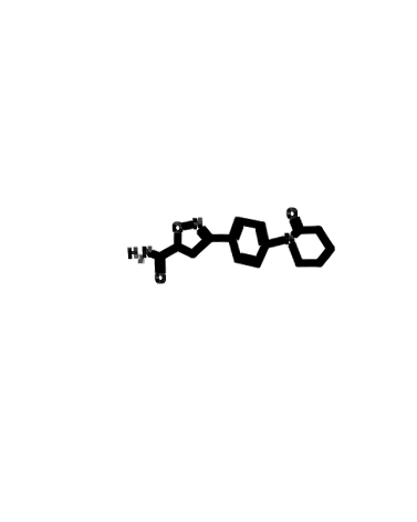 NC(=O)C1CC(c2ccc(N3CCCCC3=O)cc2)=NO1